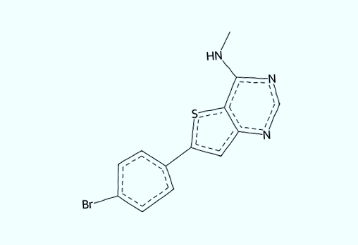 CNc1ncnc2cc(-c3ccc(Br)cc3)sc12